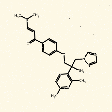 Cc1ccc(C(N)(COc2ccc(C(=O)/C=C/C(C)C)cc2)Cn2cncn2)c(C)c1